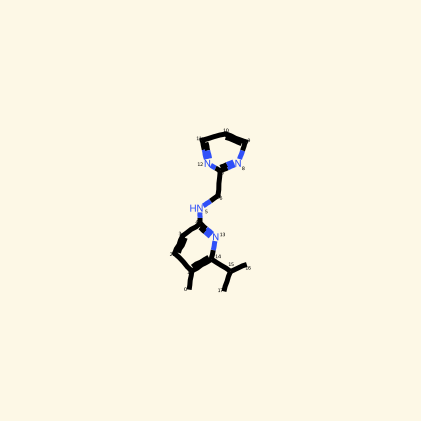 Cc1ccc(NCc2ncccn2)nc1C(C)C